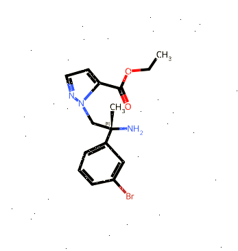 CCOC(=O)c1ccnn1C[C@](C)(N)c1cccc(Br)c1